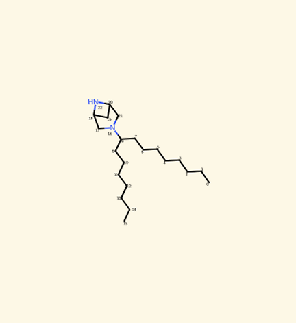 CCCCCCCCC(CCCCCCC)N1CC2CC(C1)N2